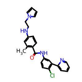 Cc1cc(NCCn2cccc2)ccc1C(=O)Nc1ccc(Cl)c(-c2ccccn2)c1